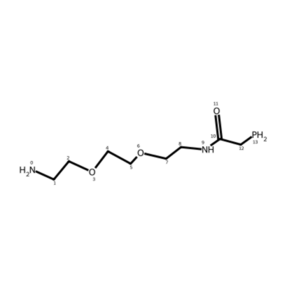 NCCOCCOCCNC(=O)CP